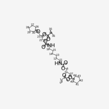 C=CC(=O)OC(COC(=O)NCCCCCCNC(=O)OCC(COC1CCCCC1)OC(=O)C(=C)C)COC1CCCCC1